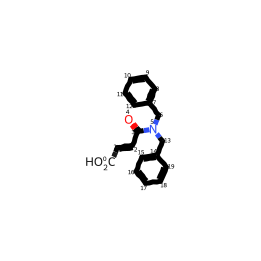 O=C(O)C=CC(=O)N(Cc1ccccc1)Cc1ccccc1